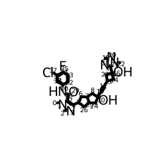 Cn1cnc(C2CC3CC(O)(C#CC4CC(O)(c5ncnn5C)C4)CC3C2)c1C(=O)Nc1ccc(F)c(Cl)c1